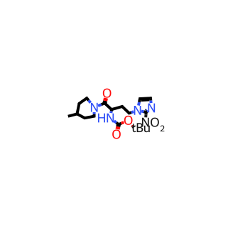 CC1CCN(C(=O)C(CCn2ccnc2[N+](=O)[O-])NC(=O)OC(C)(C)C)CC1